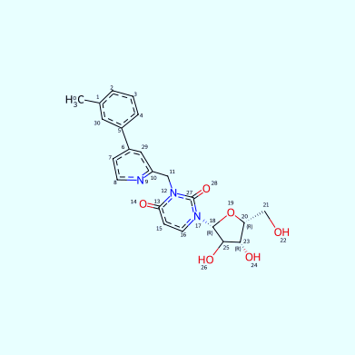 Cc1cccc(-c2ccnc(Cn3c(=O)ccn([C@@H]4O[C@H](CO)[C@H](O)C4O)c3=O)c2)c1